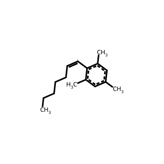 CCCCC/C=[C]\c1c(C)cc(C)cc1C